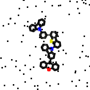 c1cc(-c2cccc3c2sc2c(-n4c5ccccc5c5cc(B6c7ccccc7Oc7ccccc76)ccc54)cccc23)cc(-n2c3ccccc3c3ccccc32)c1